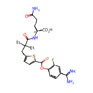 CCC(CC)(Cc1ccc(C(=O)Oc2ccc(C(=N)N)cc2F)s1)C(=O)N[C@@H](CCC(N)=O)C(=O)O